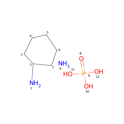 N.NC1CCCCC1.O=P(O)(O)O